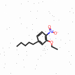 CCCCCc1ccc([N+](=O)[O-])c(OCC)c1